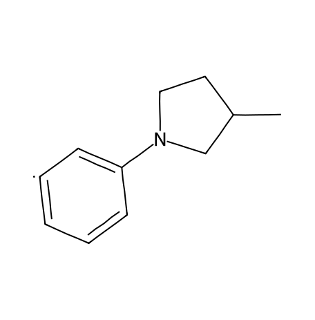 CC1CCN(c2c[c]ccc2)C1